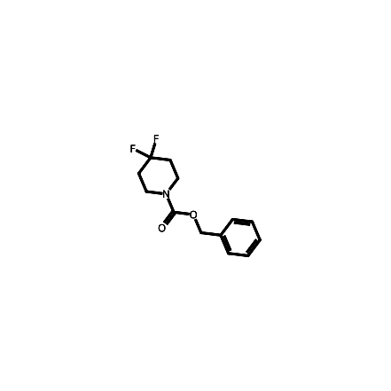 O=C(OCc1ccccc1)N1CCC(F)(F)CC1